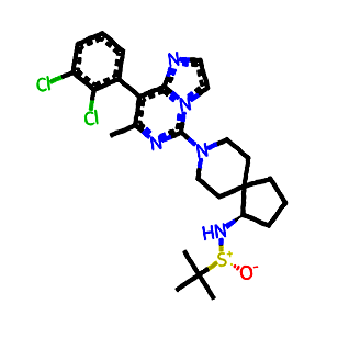 Cc1nc(N2CCC3(CCC[C@H]3N[S@+]([O-])C(C)(C)C)CC2)n2ccnc2c1-c1cccc(Cl)c1Cl